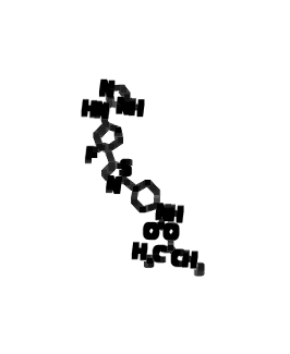 CC(C)OC(=O)NC1CCC(c2ncc(-c3ccc(Nc4ncc[nH]4)cc3F)s2)CC1